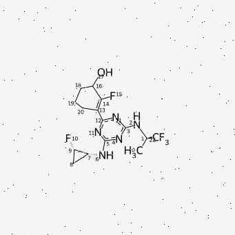 C[C@@H](Nc1nc(N[C@@H]2C[C@@H]2F)nc(C2=C(F)C(O)CCC2)n1)C(F)(F)F